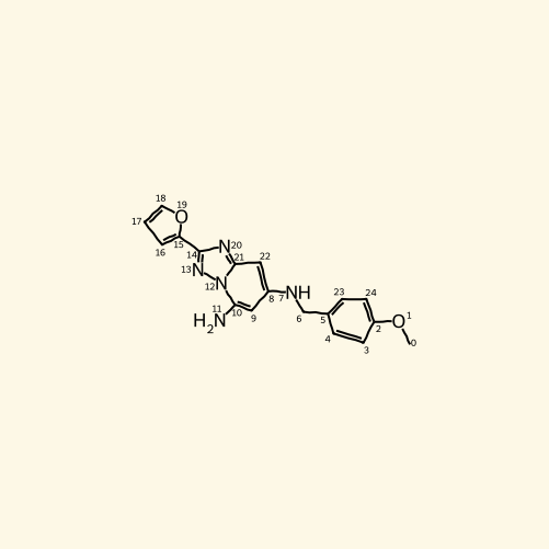 COc1ccc(CNc2cc(N)n3nc(-c4ccco4)nc3c2)cc1